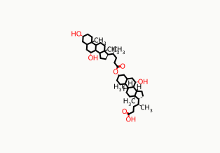 C[C@H](CCC(=O)O)[C@H]1CC[C@H]2[C@@H]3[C@@H](O)CC4C[C@@H](OC(=O)CC[C@@H](C)[C@H]5CCC6C7C(CC[C@@]65C)[C@@]5(C)CC[C@@H](O)CC5C[C@H]7O)CC[C@]4(C)[C@H]3CC[C@]12C